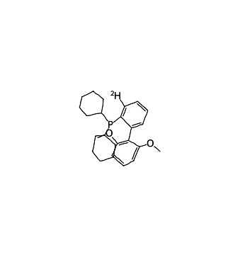 [2H]c1cccc(-c2c(OC)cccc2OC)c1P(C1CCCCC1)C1CCCCC1